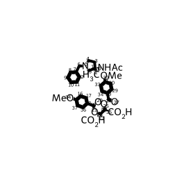 CC(=O)N[C@@]1(C)CCN(Cc2ccccc2)C1.COc1ccc(C(=O)O[C@@H](C(=O)O)[C@@H](OC(=O)c2ccc(OC)cc2)C(=O)O)cc1